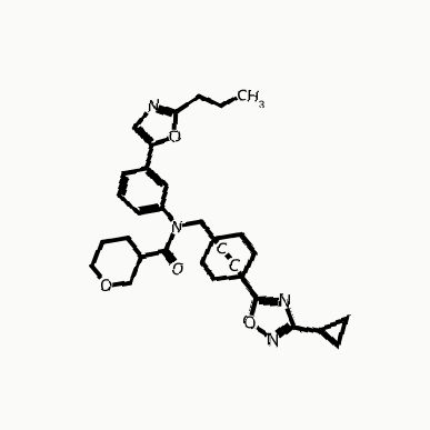 CCCc1ncc(-c2cccc(N(CC34CCC(c5nc(C6CC6)no5)(CC3)CC4)C(=O)C3CCCOC3)c2)o1